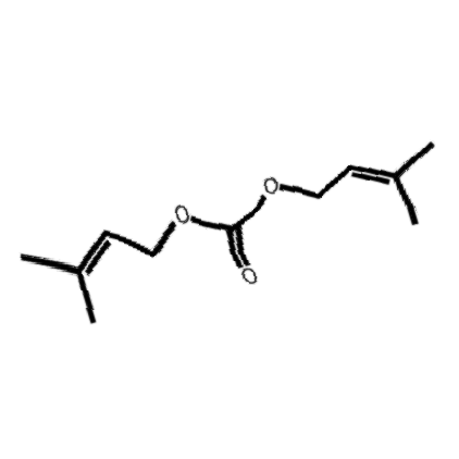 CC(C)=CCOC(=O)OCC=C(C)C